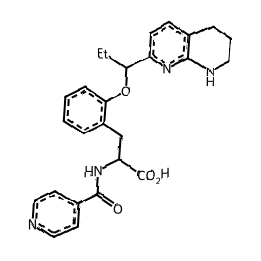 CCC(Oc1ccccc1CC(NC(=O)c1ccncc1)C(=O)O)c1ccc2c(n1)NCCC2